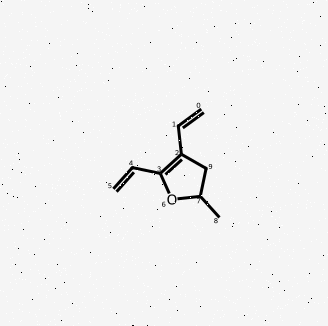 C=CC1=C(C=C)OC(C)C1